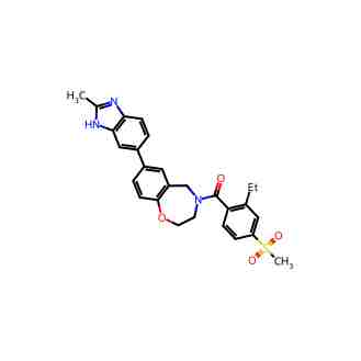 CCc1cc(S(C)(=O)=O)ccc1C(=O)N1CCOc2ccc(-c3ccc4nc(C)[nH]c4c3)cc2C1